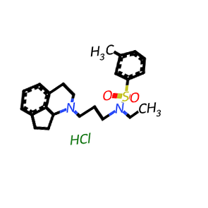 CCN(CCCN1CCc2cccc3c2C1CC3)S(=O)(=O)c1cccc(C)c1.Cl